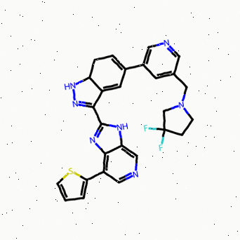 FC1(F)CCN(Cc2cncc(C3=CCC4NN=C(c5nc6c(-c7cccs7)cncc6[nH]5)C4=C3)c2)C1